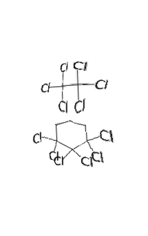 ClC(Cl)(Cl)C(Cl)(Cl)Cl.ClC1(Cl)CCCC(Cl)(Cl)C1(Cl)Cl